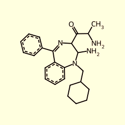 CC(N)C(=O)C1N=C(c2ccccc2)c2ccccc2N(CC2CCCCC2)C1N